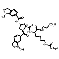 CCCCCCCC(=O)NCCCCC(NC(=O)[C@@H]1C[C@@H](NC(=O)c2ccc3c(c2)B(O)OC3)CN1C(=O)c1ccc2c(c1)B(O)OC2)C(=O)NCCC(=O)O